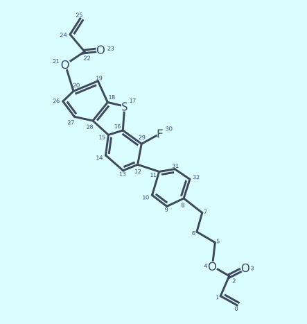 C=CC(=O)OCCCc1ccc(-c2ccc3c(sc4cc(OC(=O)C=C)ccc43)c2F)cc1